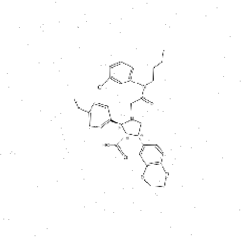 CCCCN(C(=O)CN1C[C@H](c2ccc3c(c2)OCCO3)[C@H](C(=O)O)[C@H]1c1ccc(CC)cc1)c1cccc(Cl)c1